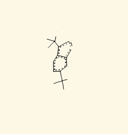 CC(C)(C)c1ccc2c(C(C)(C)C)nsc2c1